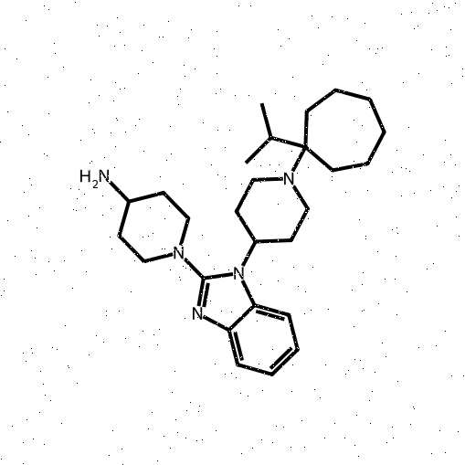 CC(C)C1(N2CCC(n3c(N4CCC(N)CC4)nc4ccccc43)CC2)CCCCCC1